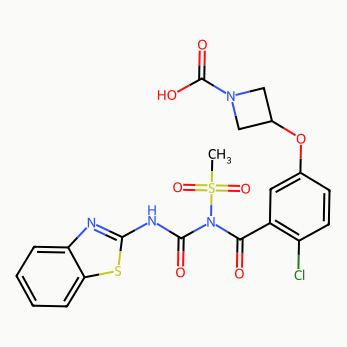 CS(=O)(=O)N(C(=O)Nc1nc2ccccc2s1)C(=O)c1cc(OC2CN(C(=O)O)C2)ccc1Cl